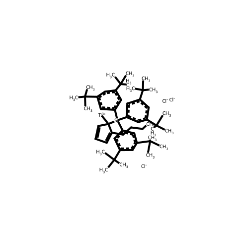 CCCCC1=CC=C[C]1([Ti+3])[Si](c1cc(C(C)(C)C)cc(C(C)(C)C)c1)(c1cc(C(C)(C)C)cc(C(C)(C)C)c1)c1cc(C(C)(C)C)cc(C(C)(C)C)c1.[Cl-].[Cl-].[Cl-]